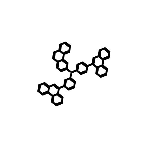 c1cc(-c2cc3ccccc3c3ccccc23)cc(N(c2ccc(-c3cc4ccccc4c4ccccc34)cc2)c2ccc3ccc4ccccc4c3c2)c1